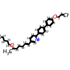 C=CCOc1ccc(-c2ccc(-c3ccc(C=CCCCC(C)OCCCCC)cn3)cc2)cc1